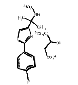 CC(C)(NC(=O)O)c1csc(-c2ccc(F)cc2)n1.O=C(O)CC(O)C(=O)O